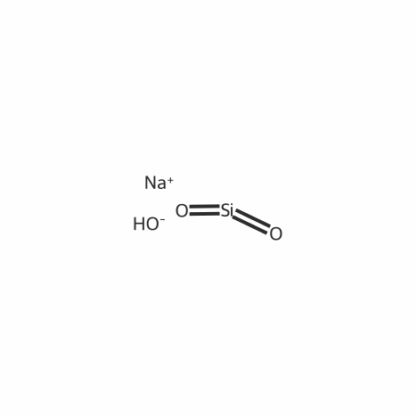 O=[Si]=O.[Na+].[OH-]